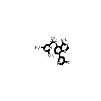 Cc1cc([C@@H](C)Oc2ccc(-c3cncc(Cl)c3)c3ncnc(N)c23)nc(C)n1